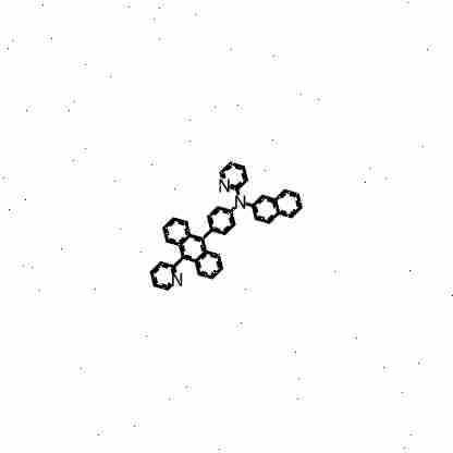 c1ccc(-c2c3ccccc3c(-c3ccc(N(c4ccc5ccccc5c4)c4ccccn4)cc3)c3ccccc23)nc1